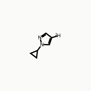 [2H]c1cnn(C2CC2)c1